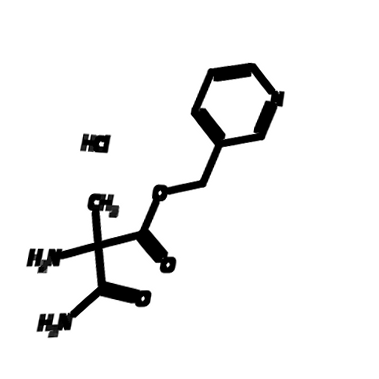 CC(N)(C(N)=O)C(=O)OCc1cccnc1.Cl